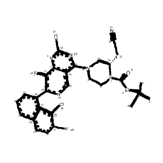 CC(C)(C)OC(=O)N1CCN(c2nc(Cl)nc3c(F)c(-c4cccc5ccc(F)c(Cl)c45)ncc23)C[C@@H]1CC#N